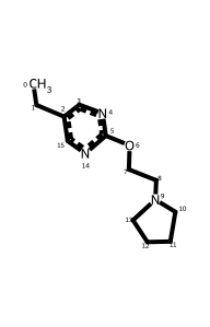 CCc1cnc(OCCN2CCCC2)nc1